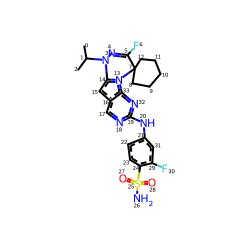 CC(C)N1N=C(F)C2(CCCCC2)n2c1cc1cnc(Nc3ccc(S(N)(=O)=O)c(F)c3)nc12